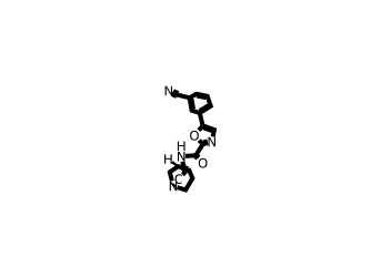 N#Cc1cccc(-c2cnc(C(=O)N[C@H]3CN4CCC3CC4)o2)c1